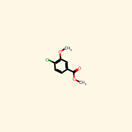 COC(=O)c1ccc(Cl)c(OC)c1